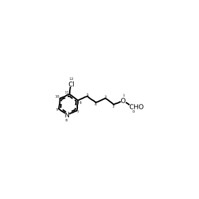 O=COCCCCc1cnccc1Cl